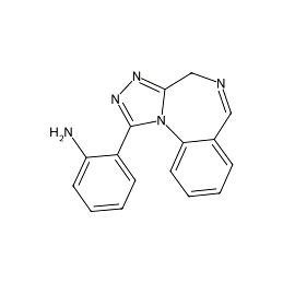 Nc1ccccc1-c1nnc2n1-c1ccccc1C=NC2